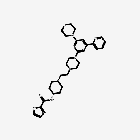 O=C(N[C@H]1CC[C@H](CCN2CCN(c3cc(-c4ccccn4)cc(N4CCOCC4)n3)CC2)CC1)c1ccco1